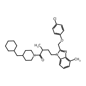 Cc1cccc2c1nc(COc1ccc(Cl)cc1)n2CCC(C)C(=O)N1CCC(CC2CCCCC2)CC1